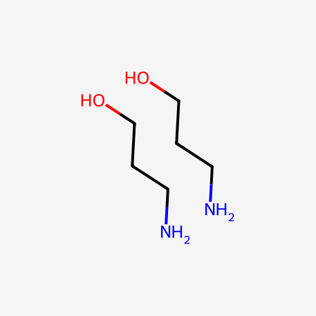 NCCCO.NCCCO